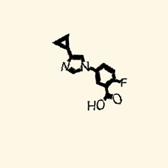 O=C(O)c1cc(-n2cnc(C3CC3)c2)ccc1F